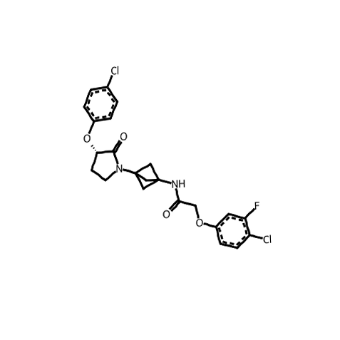 O=C(COc1ccc(Cl)c(F)c1)NC12CC(N3CC[C@H](Oc4ccc(Cl)cc4)C3=O)(C1)C2